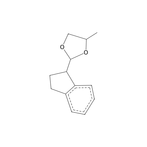 CC1COC(C2CCc3ccccc32)O1